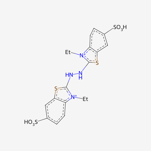 CC[n+]1c(NNc2sc3cc(S(=O)(=O)O)ccc3[n+]2CC)sc2cc(S(=O)(=O)O)ccc21